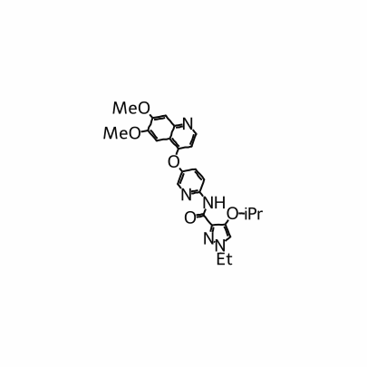 CCn1cc(OC(C)C)c(C(=O)Nc2ccc(Oc3ccnc4cc(OC)c(OC)cc34)cn2)n1